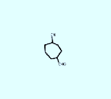 N#CC1CCCC(C=O)CC1